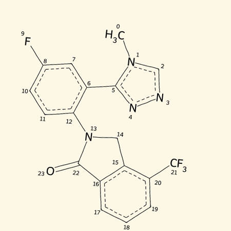 Cn1cnnc1-c1cc(F)ccc1N1Cc2c(cccc2C(F)(F)F)C1=O